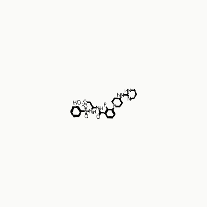 O=C(O)CC(NC(=O)c1cccc(N2CCC(NC3=NCCCN3)CC2)c1F)NS(=O)(=O)c1ccccc1